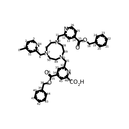 Cc1ccnc(CN2CCN(Cc3cc(C(=O)OCc4ccccc4)ccn3)CCN(Cc3cc(C(=O)OCc4ccccc4)cc(C(=O)O)n3)CC2)c1